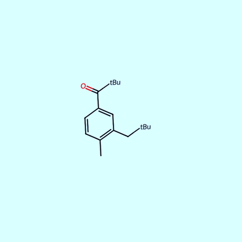 Cc1ccc(C(=O)C(C)(C)C)cc1CC(C)(C)C